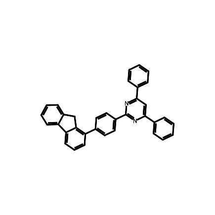 c1ccc(-c2cc(-c3ccccc3)nc(-c3ccc(-c4cccc5c4Cc4ccccc4-5)cc3)n2)cc1